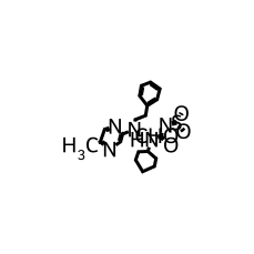 Cc1cnc(N(C=O)CCc2ccccc2)cn1.O=C(N=S(=O)=O)NC1CCCCC1